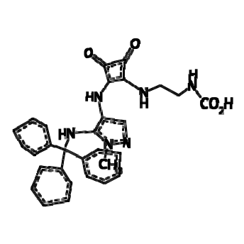 Cn1ncc(Nc2c(NCCNC(=O)O)c(=O)c2=O)c1NC(c1ccccc1)(c1ccccc1)c1ccccc1